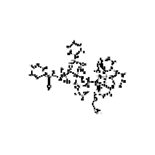 CCOc1nc(N(OC)C(c2ccccc2)(c2ccccc2)c2ccccc2)nc2c1ncn2[C@@H]1O[C@](F)(COC(=O)c2ccccc2)[C@@H](OC(=O)c2ccccc2)[C@@]1(C)F